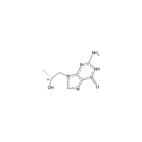 C[C@@H](O)Cn1cnc2c(=O)[nH]c(N)nc21